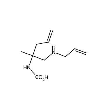 C=CCNCC(C)(CC=C)NC(=O)O